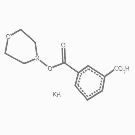 O=C(O)c1cccc(C(=O)ON2CCOCC2)c1.[KH]